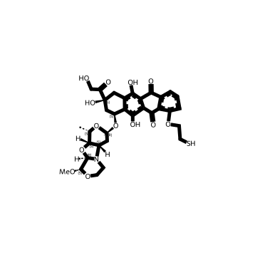 CO[C@H]1OCCN2[C@@H]1O[C@@H]1[C@H](C)O[C@@H](O[C@H]3C[C@](O)(C(=O)CO)Cc4c(O)c5c(c(O)c43)C(=O)c3c(OCCS)cccc3C5=O)C[C@@H]12